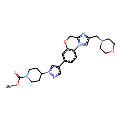 CC(C)(C)OC(=O)N1CCC(n2cc(-c3ccc4c(c3)OCc3nc(CN5CCOCC5)cn3-4)cn2)CC1